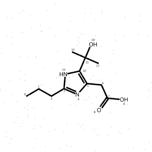 CCCc1nc(CC(=O)O)c(C(C)(C)O)[nH]1